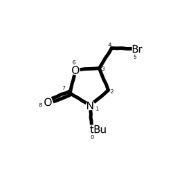 CC(C)(C)N1CC(CBr)OC1=O